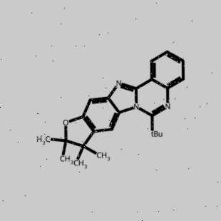 CC(C)(C)c1nc2ccccc2c2nc3cc4c(cc3n12)C(C)(C)C(C)(C)O4